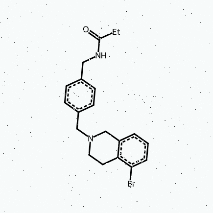 CCC(=O)NCc1ccc(CN2CCc3c(Br)cccc3C2)cc1